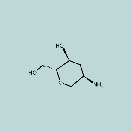 N[C@H]1CO[C@H](CO)[C@@H](O)C1